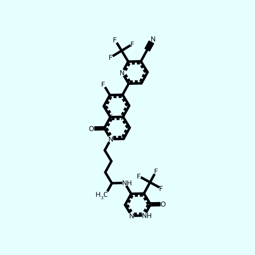 CC(CCCn1ccc2cc(-c3ccc(C#N)c(C(F)(F)F)n3)c(F)cc2c1=O)Nc1cn[nH]c(=O)c1C(F)(F)F